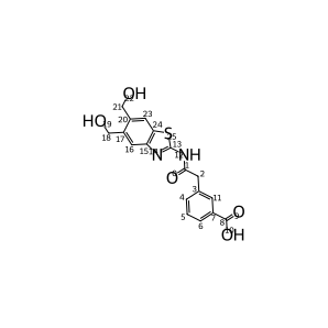 O=C(Cc1cccc(C(=O)O)c1)Nc1nc2cc(CO)c(CO)cc2s1